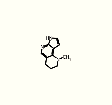 CN1CCCc2cnc3[nH]ccc3c21